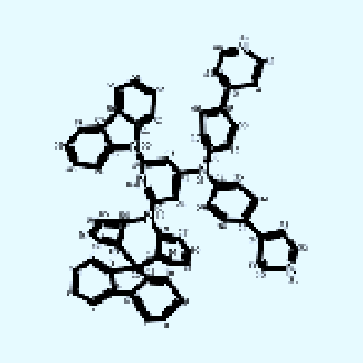 c1ccc2c(c1)-c1ccccc1C21c2ccccc2N(c2cc(N(c3ccc(-c4ccncc4)cc3)c3ccc(-c4ccncc4)cc3)cc(-n3c4ccccc4c4ccccc43)n2)c2ccccc21